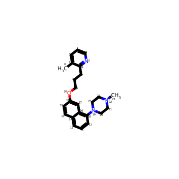 Cc1cccnc1CCCOc1ccc2cccc(N3CCN(C)CC3)c2c1